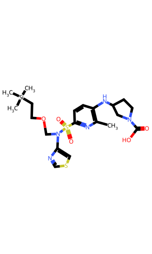 Cc1nc(S(=O)(=O)N(COCC[Si](C)(C)C)c2cscn2)ccc1NC1CCN(C(=O)O)C1